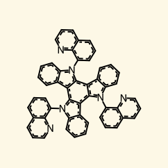 c1cnc2c(-n3c4ccccc4c4c3c3c5ccccc5n(-c5cccc6cccnc56)c3c3c5ccccc5n(-c5cccc6cccnc56)c43)cccc2c1